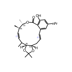 CCCc1cc(O)c2c(c1)/C=C/C[C@@H]1OC(C)(C)O[C@@H]1C(C)/C=C\[C@@H](C)[C@H](C)OC2=O